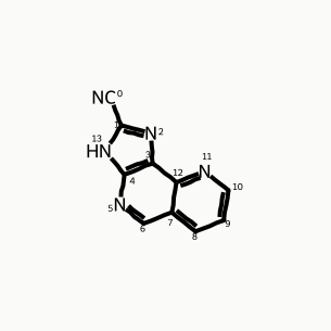 N#Cc1nc2c(ncc3cccnc32)[nH]1